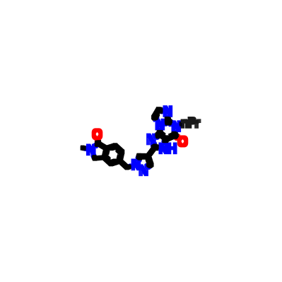 CCCn1c(=O)c2[nH]c(-c3cnn(Cc4ccc5c(c4)CN(C)C5=O)c3)nc2n2ccnc12